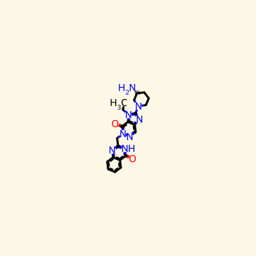 CCn1c(N2CCC[C@@H](N)C2)nc2cnn(Cc3nc4ccccc4c(=O)[nH]3)c(=O)c21